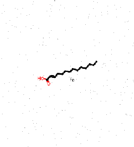 CCCCCCCCCCCC=CC(=O)O.[Fe]